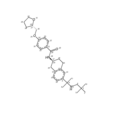 CC(C)(C)CNC(C)(C)c1ccc2c(c1)CC[C@H](NC(=O)c1ccc(OC[C@@H]3CCCO3)cc1)C2